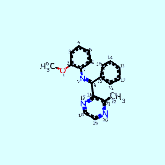 COc1ccccc1N=C(c1ccccc1)c1nccnc1C